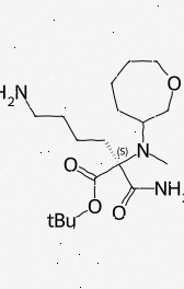 CN(C1CCCCOC1)[C@@](CCCCN)(C(N)=O)C(=O)OC(C)(C)C